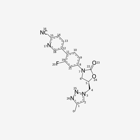 Cc1cn(C[C@H]2CN(c3ccc(-c4ccc(C#N)nc4)c(F)c3)C(=O)O2)nn1